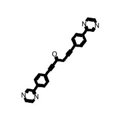 O=C(C#Cc1ccc(-c2cnccn2)cc1)[CH]C#Cc1ccc(-c2cnccn2)cc1